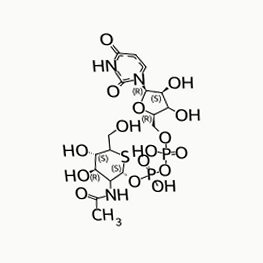 CC(=O)NC1[C@@H](O)[C@H](O)C(CO)S[C@@H]1OP(=O)(O)OP(=O)(O)OC[C@H]1O[C@@H](n2ccc(=O)[nH]c2=O)[C@@H](O)C1O